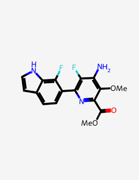 COC(=O)c1nc(-c2ccc3cc[nH]c3c2F)c(F)c(N)c1OC